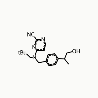 CC(CO)c1ccc(CN(CC(C)(C)C)c2ccnc(C#N)n2)cc1